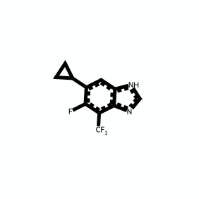 Fc1c(C2CC2)cc2[nH][c]nc2c1C(F)(F)F